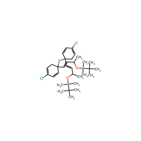 CC(C=CC1(SC2(C=CC(C)O[Si](C)(C)C(C)(C)C)C=CC(Cl)=CC2)C=CC(Cl)=CC1)O[Si](C)(C)C(C)(C)C